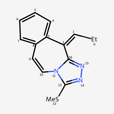 CCC=C1c2ccccc2C=Cn2c(SC)nnc21